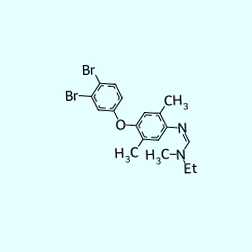 CCN(C)/C=N\c1cc(C)c(Oc2ccc(Br)c(Br)c2)cc1C